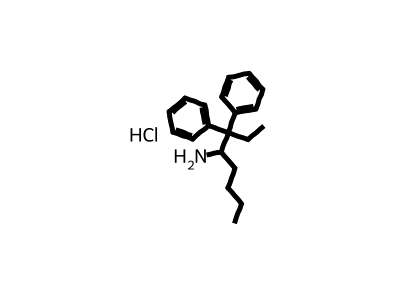 CCCCC(N)C(CC)(c1ccccc1)c1ccccc1.Cl